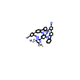 Cc1cc(C)nc(-c2cc(-n3c4ccccc4c4ccc(-c5ccc(C#N)cc5C#N)cc43)c(C#N)c(-n3c4ccccc4c4ccc(-c5ccc(C#N)cc5C#N)cc43)c2)n1